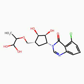 O=C(O)C(OC[C@H]1C[C@@H](n2cnc3cccc(Cl)c3c2=O)[C@H](O)[C@@H]1O)C(O)O